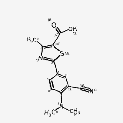 Cc1nc(-c2ccc(N(C)C)c(C#N)c2)sc1C(=O)O